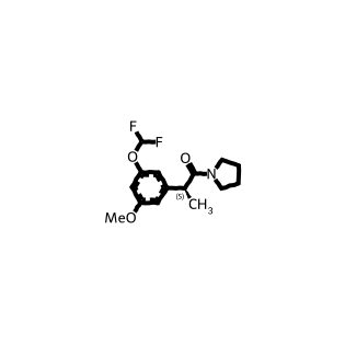 COc1cc(OC(F)F)cc([C@H](C)C(=O)N2CCCC2)c1